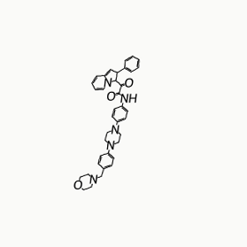 O=C(Nc1ccc(N2CCN(c3ccc(CN4CCOCC4)cc3)CC2)cc1)C(=O)C1C(c2ccccc2)C=C2C=CC=CN21